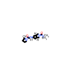 CC[C@]1(NCC(=O)N2CCCC2C#N)C[C@H]2CN(C(=O)N(C)C)C[C@H]2C1